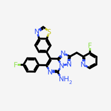 Nc1nc(-c2ccc(F)cc2)c(-c2ccc3ncsc3c2)c2nc(Cc3ncccc3F)nn12